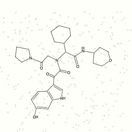 O=C(C(=O)N(CC(=O)N1CCCC1)C(C(=O)NC1CCOCC1)C1CCCCC1)c1c[nH]c2cc(O)ccc12